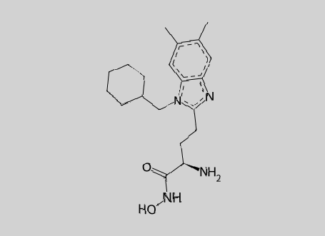 Cc1cc2nc(CC[C@@H](N)C(=O)NO)n(CC3CCCCC3)c2cc1C